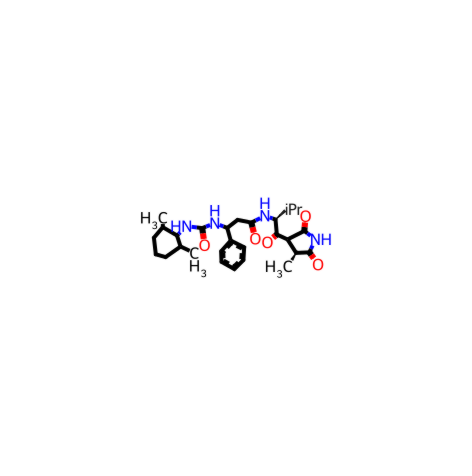 CC1CCCC(C)C1NC(=O)NC(CC(=O)N[C@H](C(=O)C1C(=O)NC(=O)[C@H]1C)C(C)C)c1ccccc1